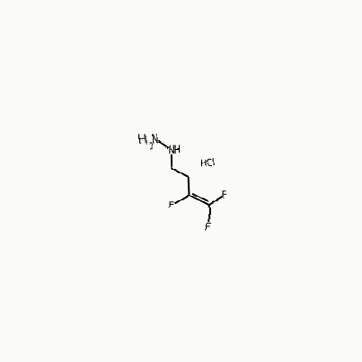 Cl.NNCCC(F)=C(F)F